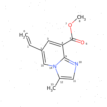 C=Cc1cc(C(=O)OC)c2ncc(C)n2c1